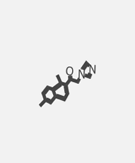 Cc1ccc2c(C)c(C(=O)Cn3ccnc3)ccc2c1